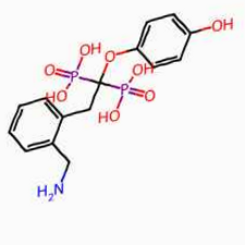 NCc1ccccc1CC(Oc1ccc(O)cc1)(P(=O)(O)O)P(=O)(O)O